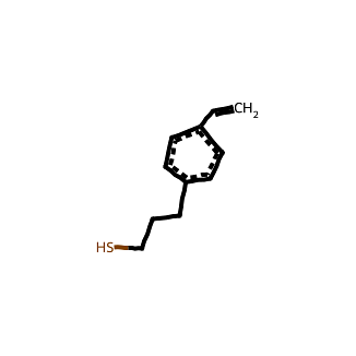 C=Cc1ccc(CCCS)cc1